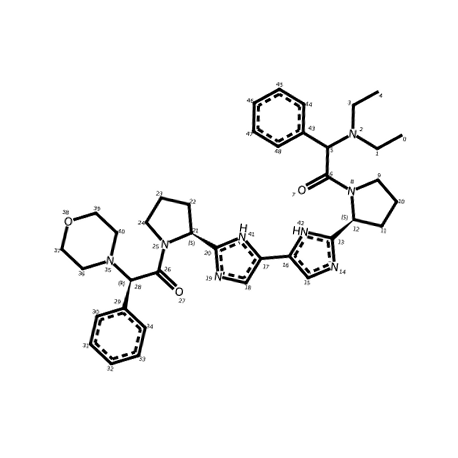 CCN(CC)C(C(=O)N1CCC[C@H]1c1ncc(-c2cnc([C@@H]3CCCN3C(=O)[C@@H](c3ccccc3)N3CCOCC3)[nH]2)[nH]1)c1ccccc1